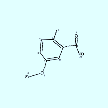 CCOc1ccc(C)c(C(=O)N=O)c1